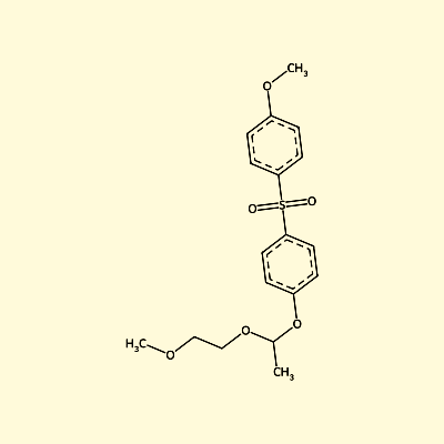 COCCOC(C)Oc1ccc(S(=O)(=O)c2ccc(OC)cc2)cc1